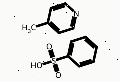 Cc1ccncc1.O=S(=O)(O)c1ccccc1